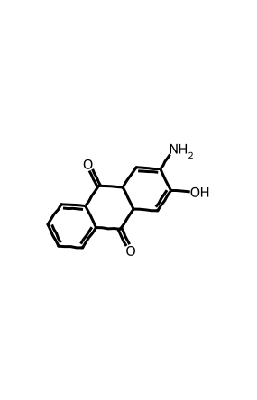 NC1=CC2C(=O)c3ccccc3C(=O)C2C=C1O